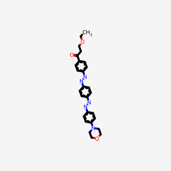 CCOCCC(=O)c1ccc(N=Nc2ccc(N=Nc3ccc(N4CCOCC4)cc3)cc2)cc1